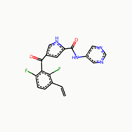 C=Cc1ccc(F)c(C(=O)c2c[nH]c(C(=O)Nc3cncnc3)c2)c1F